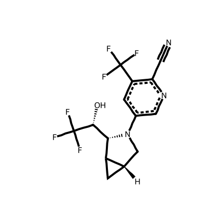 N#Cc1ncc(N2C[C@@H]3CC3[C@@H]2[C@@H](O)C(F)(F)F)cc1C(F)(F)F